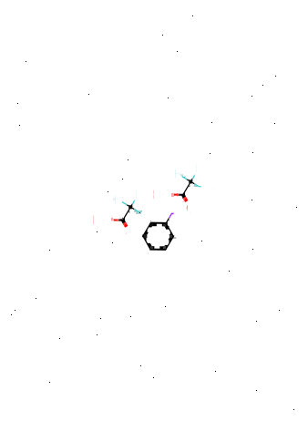 Ic1ccccc1.O=C(O)C(F)(F)F.O=C(O)C(F)(F)F